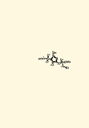 CCCCCCS(=O)(=O)c1c(Cl)c(OP(=S)(OC)SCC)nn1CCC